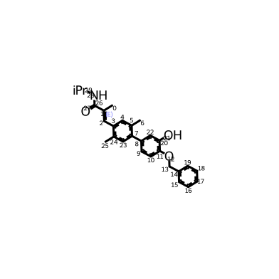 C/C(=C\c1cc(C)c(-c2ccc(OCc3ccccc3)c(O)c2)cc1C)C(=O)NC(C)C